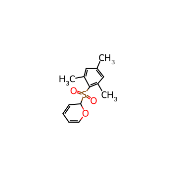 Cc1cc(C)c(S(=O)(=O)C2C=CC=CO2)c(C)c1